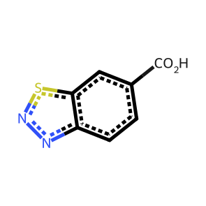 O=C(O)c1ccc2nnsc2c1